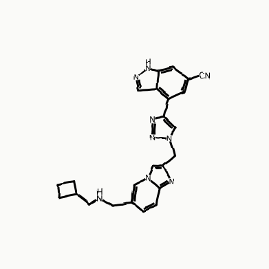 N#Cc1cc(-c2cn(Cc3cn4cc(CNCC5CCC5)ccc4n3)nn2)c2cn[nH]c2c1